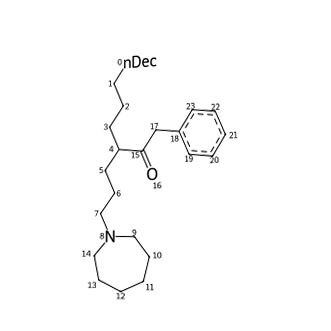 CCCCCCCCCCCCCC(CCCN1CCCCCC1)C(=O)Cc1ccccc1